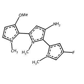 COc1ccn(C)c1-c1cc(N)c(-c2cc(F)cn2C)n1C